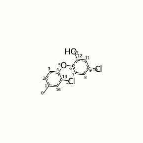 Cc1ccc(Oc2ccc(Cl)cc2O)c(Cl)c1